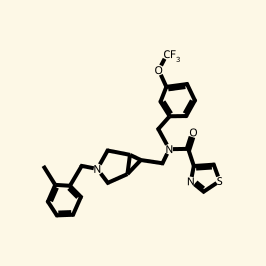 Cc1ccccc1CN1CC2C(C1)C2CN(Cc1cccc(OC(F)(F)F)c1)C(=O)c1cscn1